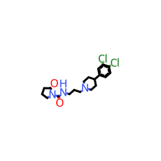 O=C1CCCN1C(=O)NCCCN1CCC(c2ccc(Cl)c(Cl)c2)CC1